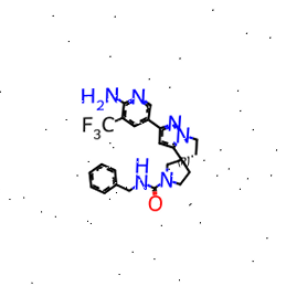 Nc1ncc(-c2cc3n(n2)CC[C@@]32CCN(C(=O)NCc3ccccc3)C2)cc1C(F)(F)F